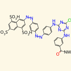 CNC(=O)c1cccc(Nc2nc(Cl)nc(Nc3ccc(/N=N\c4ccc(/N=N\c5cc(S(=O)(=O)O)c6cc(S(=O)(=O)O)cc(S(=O)(=O)O)c6c5)cc4)cc3)n2)c1